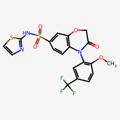 COc1ccc(C(F)(F)F)cc1N1C(=O)COc2cc(S(=O)(=O)Nc3nccs3)ccc21